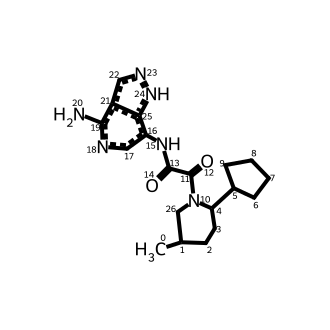 CC1CCC(C2CCCC2)N(C(=O)C(=O)Nc2cnc(N)c3cn[nH]c23)C1